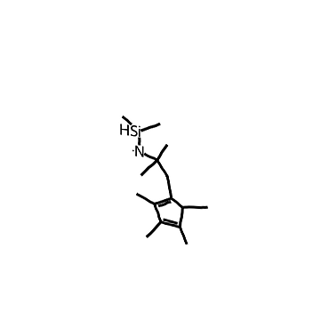 CC1=C(C)C(C)C(CC(C)(C)[N][SiH](C)C)=C1C